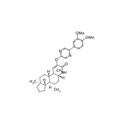 COc1ccc(-c2cnc(OC3=C[C@@]4(C)[C@@H](C[C@H](C)[C@H]5[C@@H]6CCC[C@@]6(C)CC[C@@H]54)NC3=O)cn2)cc1OC